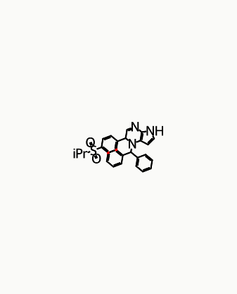 CC(C)S(=O)(=O)c1ccc(C2C=Nc3[nH]ccc3N2C(c2ccccc2)c2ccccc2)cc1